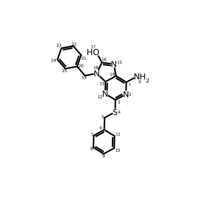 Nc1nc(SCc2ccccc2)nc2c1nc(O)n2Cc1ccccc1